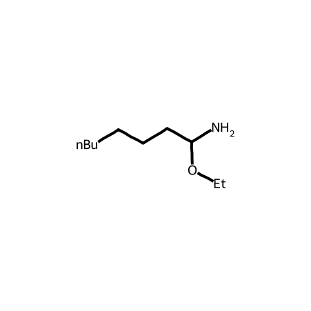 CCCCCCCC(N)OCC